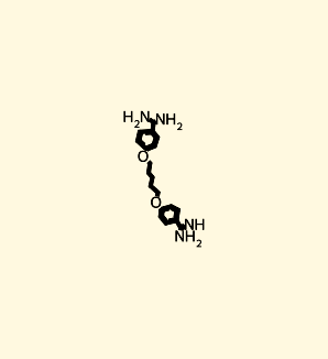 N=C(N)c1ccc(OCCCCCOc2ccc(C(N)N)cc2)cc1